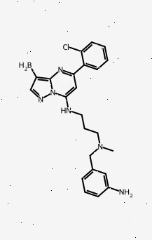 Bc1cnn2c(NCCCN(C)Cc3cccc(N)c3)cc(-c3ccccc3Cl)nc12